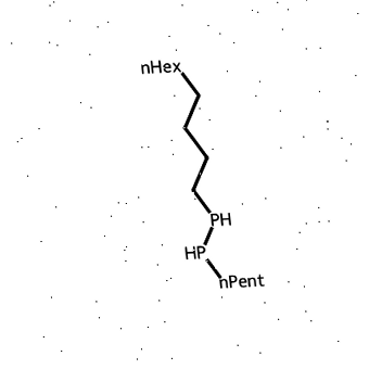 CCCCCCCCCCPPCCCCC